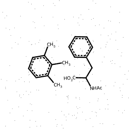 CC(=O)NC(Cc1ccccc1)C(=O)O.Cc1cccc(C)c1C